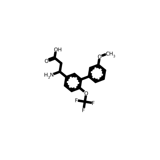 COc1cccc(-c2cc(C(N)CC(=O)O)ccc2OC(F)(F)F)c1